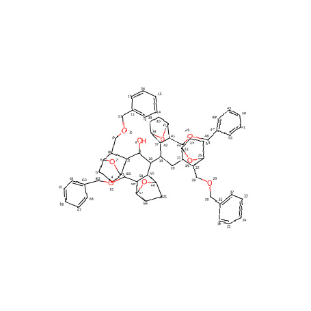 OC(C1C2CCC(O2)C1COCc1ccccc1)C(C(CC1C2CCC(O2)C1COCc1ccccc1)C1C2CCC(O2)C1COCc1ccccc1)C1C2CCC(O2)C1COCc1ccccc1